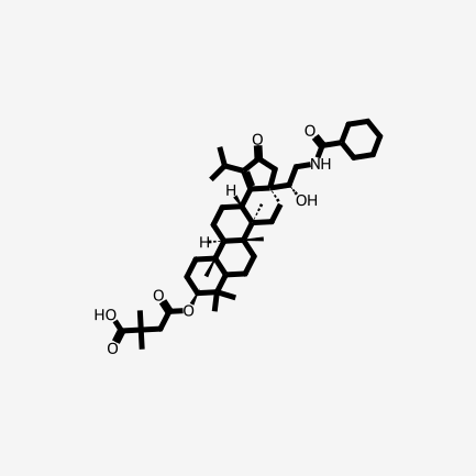 CC(C)C1=C2[C@H]3CC[C@@H]4[C@@]5(C)CC[C@H](OC(=O)CC(C)(C)C(=O)O)C(C)(C)C5CC[C@@]4(C)[C@]3(C)CC[C@@]2([C@@H](O)CNC(=O)C2CCCCC2)CC1=O